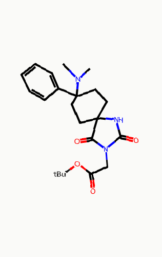 CN(C)C1(c2ccccc2)CCC2(CC1)NC(=O)N(CC(=O)OC(C)(C)C)C2=O